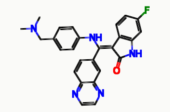 CN(C)Cc1ccc(NC(=C2C(=O)Nc3cc(F)ccc32)c2ccc3nccnc3c2)cc1